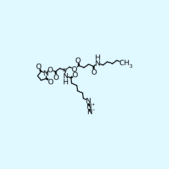 CCCCCNC(=O)CCC(=O)OC[C@H](CC(=O)ON1C(=O)CCC1=O)NC(=O)CCCCCN=[N+]=[N-]